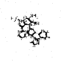 Cn1nc(-c2ncccn2)c2c1OC(N)=C(C#N)C2c1ccc(-n2ccnc2-c2cccnc2)cc1